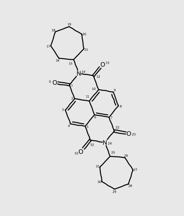 O=C1c2ccc3c4c(ccc(c24)C(=O)N1C1CCCCCC1)C(=O)N(C1CCCCCC1)C3=O